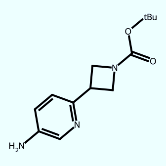 CC(C)(C)OC(=O)N1CC(c2ccc(N)cn2)C1